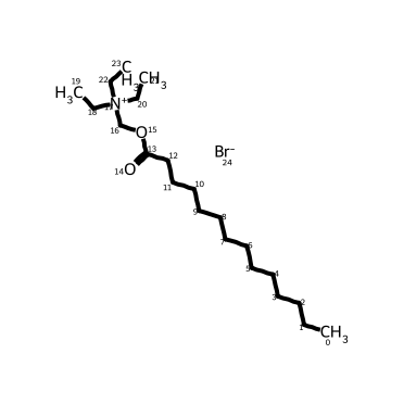 CCCCCCCCCCCCCC(=O)OC[N+](CC)(CC)CC.[Br-]